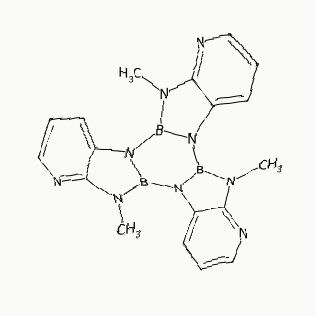 CN1B2N(B3N(C)c4ncccc4N3B3N(C)c4ncccc4N23)c2cccnc21